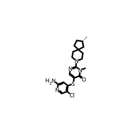 C[C@H]1CCC2(CCN(c3ncc(Sc4cc(N)ncc4Cl)c(=O)n3C)CC2)C1